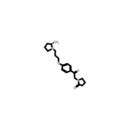 C[C@@H]1CCCN1CCCOc1ccc(C(=O)CN2CCCC2=O)cc1